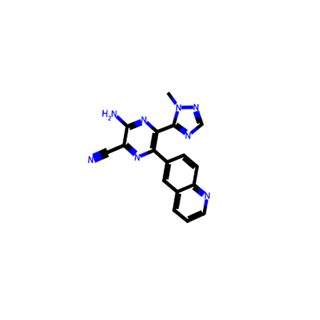 Cn1ncnc1-c1nc(N)c(C#N)nc1-c1ccc2ncccc2c1